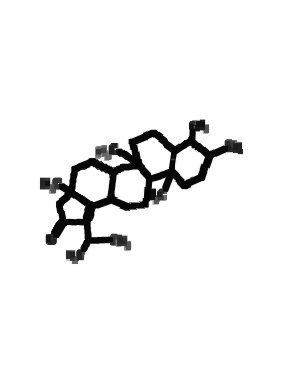 CC(C)C1=C2C3CCC4C(C)(CCC5C(C)C(O)CCC54C)C3CCC2(C)CC1=O